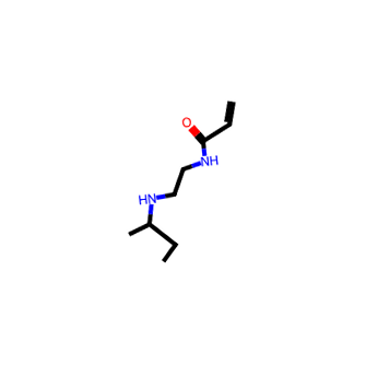 C=CC(=O)NCCNC(C)CC